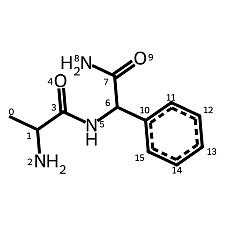 CC(N)C(=O)NC(C(N)=O)c1ccccc1